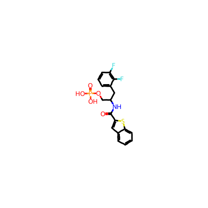 O=C(NC(COP(=O)(O)O)Cc1cccc(F)c1F)c1cc2ccccc2s1